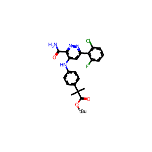 CC(C)(C)OC(=O)C(C)(C)c1ccc(Nc2cc(-c3c(F)cccc3Cl)nnc2C(N)=O)cc1